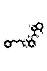 NC(CCCc1ccncc1)Oc1ccncc1NC(=O)c1c[nH]c2c1C(=O)CCC2